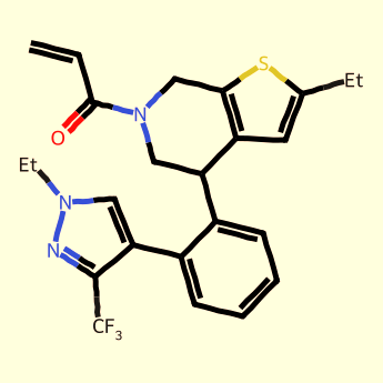 C=CC(=O)N1Cc2sc(CC)cc2C(c2ccccc2-c2cn(CC)nc2C(F)(F)F)C1